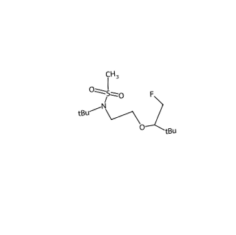 CC(C)(C)C(CF)OCCN(C(C)(C)C)S(C)(=O)=O